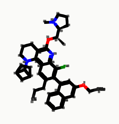 COCOc1cc(-c2c(CCC#N)cc3c4c(c(O[C@@H](C)[C@@H]5CCCN5C)nc3c2F)CCCN4C2C3CCC2C3)c2ccccc2c1